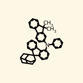 CC1(C)c2ccccc2-c2ccc(N(c3ccccc3)c3cccc4c3-c3ccccc3C43C4CC5CC(C4)CC3C5)cc21